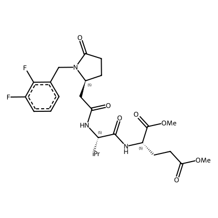 COC(=O)CC[C@H](NC(=O)[C@@H](NC(=O)C[C@@H]1CCC(=O)N1Cc1cccc(F)c1F)C(C)C)C(=O)OC